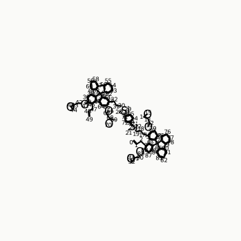 C=CCc1cc(C2(c3ccc(OCC4CO4)c(CCC[Si](C)(C)c4ccc([Si](C)(C)CCCc5cc(C6(c7ccc(OCC8CO8)c(CC=C)c7)c7ccccc7-c7ccccc76)ccc5OCC5CO5)cc4)c3)c3ccccc3-c3ccccc32)ccc1OCC1CO1